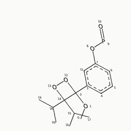 COC1(c2cccc(OP=O)c2)OOC1(C(C)C)C(C)C